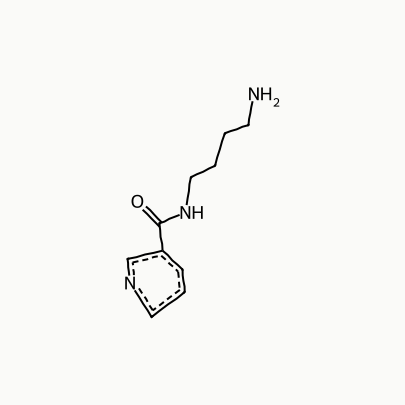 NCCCCNC(=O)c1cccnc1